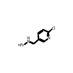 CCCNCc1ccc(Cl)nc1